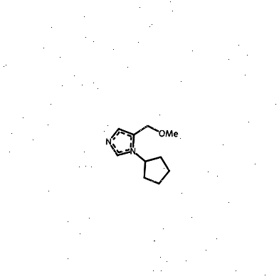 COCc1cncn1C1CCCC1